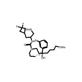 CNCC(CC1CC(F)(F)C1)NC(=O)N1CCC[C@@H]([C@@](O)(CCCCOC)c2cccc(F)c2)C1